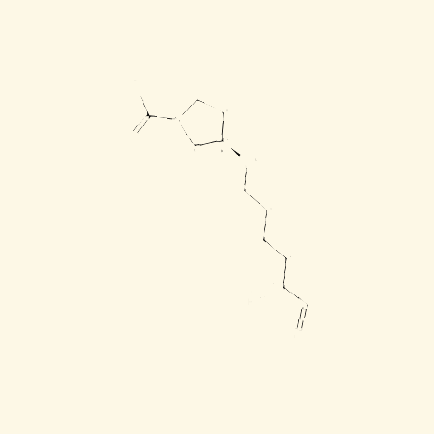 C=C[C@H](O)CCCCO[C@@H]1CCN(C(=O)O)C1